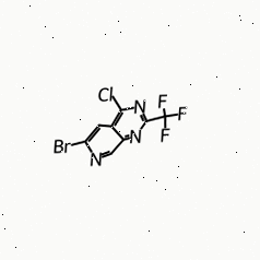 FC(F)(F)c1nc(Cl)c2cc(Br)ncc2n1